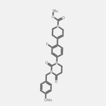 COc1ccc(CN2C(=O)CCN(c3ccc(C4=CCN(C(=O)OC(C)(C)C)CC4)c(F)c3)C2=O)cc1